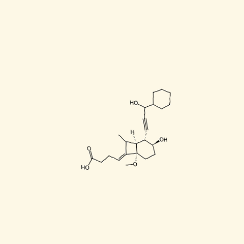 CO[C@@]12CC[C@H](O)[C@@H](C#CC(O)C3CCCCC3)[C@@H]1C(C)C2=CCCC(=O)O